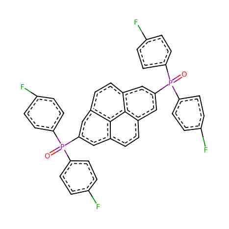 O=P(c1ccc(F)cc1)(c1ccc(F)cc1)c1cc2ccc3cc(P(=O)(c4ccc(F)cc4)c4ccc(F)cc4)cc4ccc(c1)c2c34